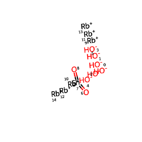 [OH-].[OH-].[OH-].[OH-].[OH-].[OH-].[O]=[Sn]=[O].[Rb+].[Rb+].[Rb+].[Rb+].[Rb+].[Rb+]